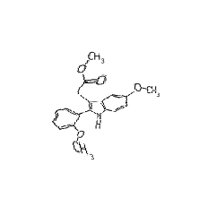 COC(=O)Cc1c(-c2ccccc2OC)[nH]c2ccc(OC)cc12